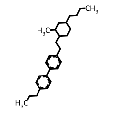 CCCCC1CCC(CCc2ccc(-c3ccc(CCC)cc3)cc2)C(C)C1